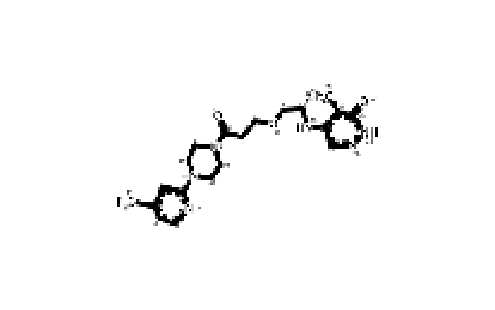 C[C@@H](COCCC(=O)N1CCN(c2cc(C(F)(F)F)ccn2)CC1)Nc1cn[nH]c(=O)c1C(F)(F)F